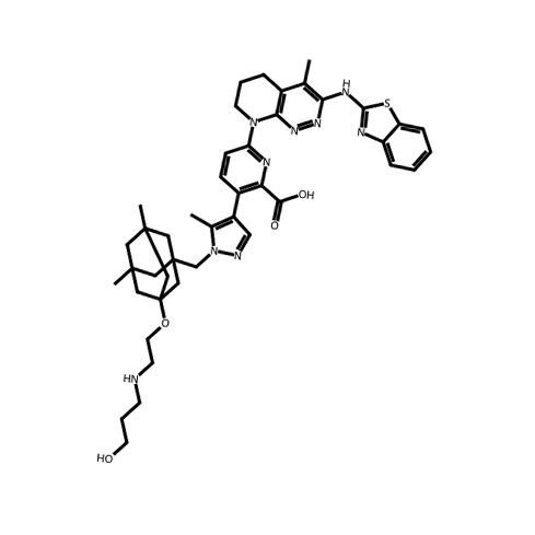 Cc1c(Nc2nc3ccccc3s2)nnc2c1CCCN2c1ccc(-c2cnn(CC34CC5(C)CC(C)(C3)CC(OCCNCCCO)(C5)C4)c2C)c(C(=O)O)n1